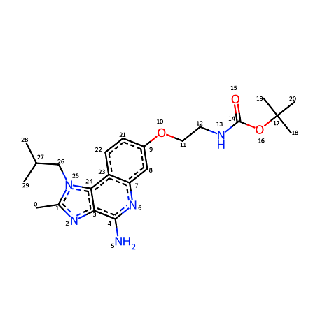 Cc1nc2c(N)nc3cc(OCCNC(=O)OC(C)(C)C)ccc3c2n1CC(C)C